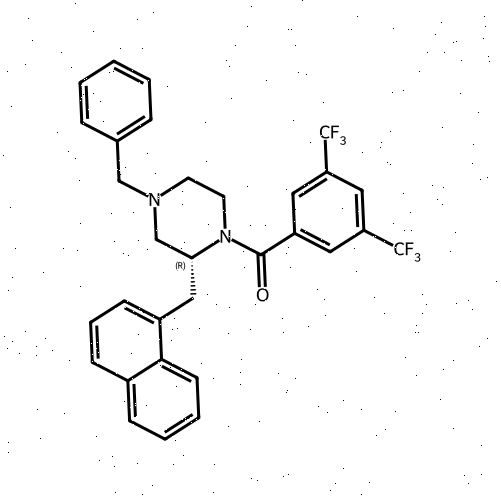 O=C(c1cc(C(F)(F)F)cc(C(F)(F)F)c1)N1CCN(Cc2ccccc2)C[C@H]1Cc1cccc2ccccc12